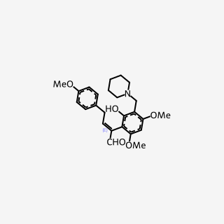 COc1ccc(C/C=C(/C=O)c2c(OC)cc(OC)c(CN3CCCCC3)c2O)cc1